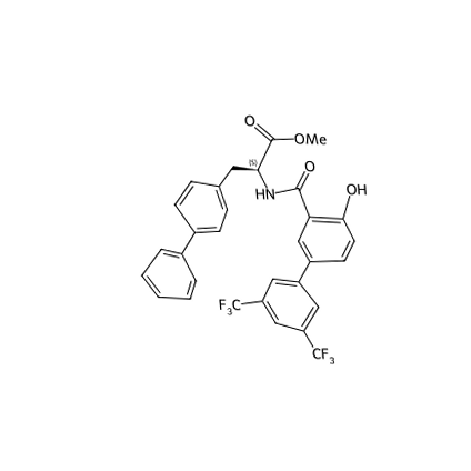 COC(=O)[C@H](Cc1ccc(-c2ccccc2)cc1)NC(=O)c1cc(-c2cc(C(F)(F)F)cc(C(F)(F)F)c2)ccc1O